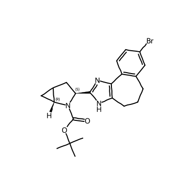 CC(C)(C)OC(=O)N1[C@@H]2CC2C[C@H]1c1nc2c([nH]1)CCCc1cc(Br)ccc1-2